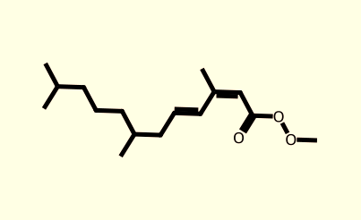 COOC(=O)C=C(C)C=CCC(C)CCCC(C)C